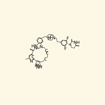 C=C1CC[C@H](c2c(F)cc(CCN3CC4CCC3CN4Cc3ccc4c(c3)N3CCCCCC/C(NC)=C(/C=N)c5cc(cc(C)n5)C(=C)/N=C/3N4)cc2F)C(=C)N1